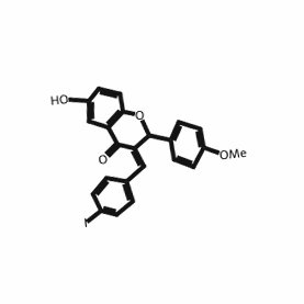 COc1ccc(C2Oc3ccc(O)cc3C(=O)C2=Cc2ccc(I)cc2)cc1